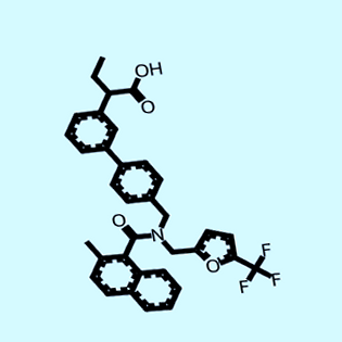 CCC(C(=O)O)c1cccc(-c2ccc(CN(Cc3ccc(C(F)(F)F)o3)C(=O)c3c(C)ccc4ccccc34)cc2)c1